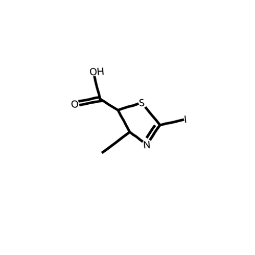 CC1N=C(I)SC1C(=O)O